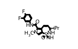 CC(C)[C@@H]1C=Cc2c(cn(C)c2C(=O)Nc2ccc(F)c(F)c2)S(=N)(=O)N1